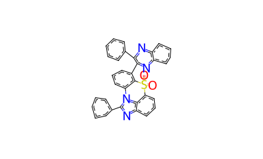 O=S1(=O)c2c(-c3nc4ccccc4nc3-c3ccccc3)cccc2-n2c(-c3ccccc3)nc3cccc1c32